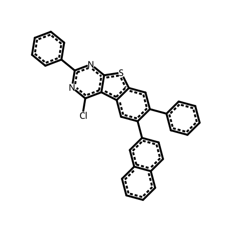 Clc1nc(-c2ccccc2)nc2sc3cc(-c4ccccc4)c(-c4ccc5ccccc5c4)cc3c12